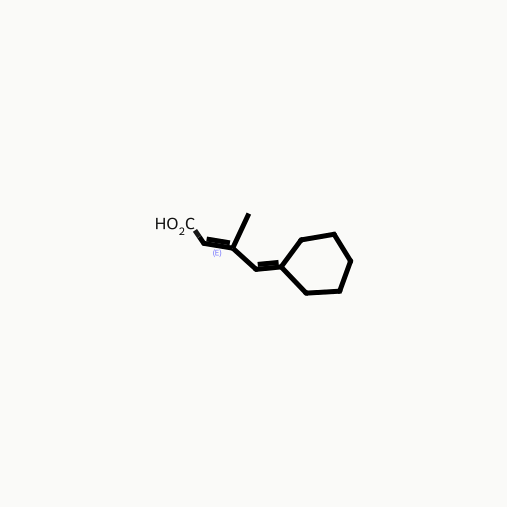 C/C(C=C1CCCCC1)=C\C(=O)O